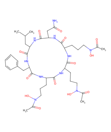 CC(=O)N(O)CCCC1NC(=O)C(CCCN(O)C(C)=O)NC(=O)C(Cc2ccccc2)NC(=O)C(CC(C)C)NC(=O)C(CC(N)=O)NC(=O)C(CCCN(O)C(C)=O)NC1=O